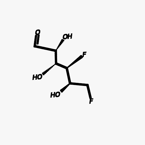 O=C[C@H](O)[C@@H](O)[C@@H](F)[C@H](O)CF